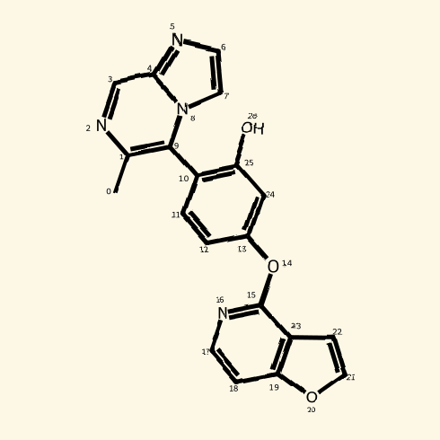 Cc1ncc2nccn2c1-c1ccc(Oc2nccc3occc23)cc1O